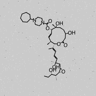 CC[C@H](O)[C@@H](C)[C@H]1O[C@@H]1C[C@@](C)(O)/C=C/C=C(\C)[C@H]1OC(=O)C[C@H](O)CC[C@@](C)(O)[C@@H](OC(=O)N2CCN(C3CCCCCC3)CC2)/C=C/[C@@H]1C